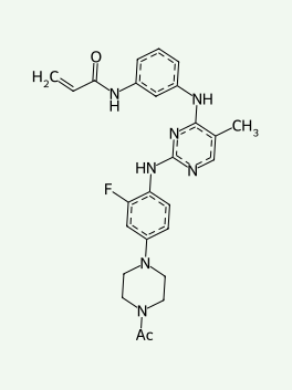 C=CC(=O)Nc1cccc(Nc2nc(Nc3ccc(N4CCN(C(C)=O)CC4)cc3F)ncc2C)c1